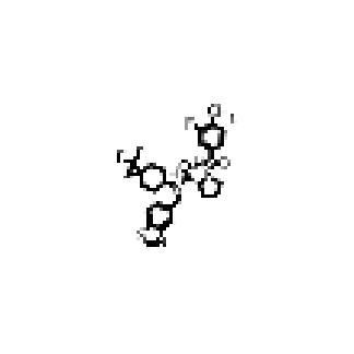 CN=[S@](=O)(c1ccc(C)c(F)c1)N1CCC[C@H]1C(=O)N(Cc1ccc2scnc2c1)C1CCC2(CC1)CC2(F)F